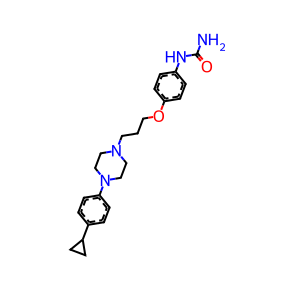 NC(=O)Nc1ccc(OCCCN2CCN(c3ccc(C4CC4)cc3)CC2)cc1